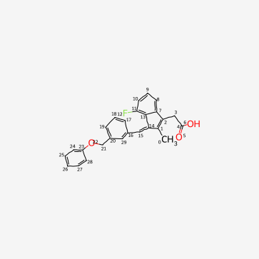 CC1=C(CC(=O)O)c2cccc(F)c2/C1=C\c1cccc(COc2ccccc2)c1